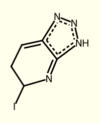 IC1CC=c2nn[nH]c2=N1